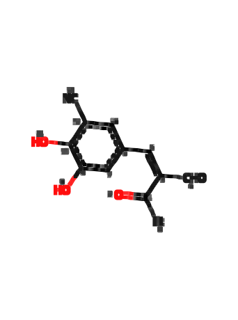 CCC(=O)C(C=O)=Cc1cc(O)c(O)c(C#N)c1